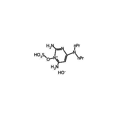 CCCN(CCC)c1cc(N)[n+](OS(=O)(=O)O)c(N)n1.[OH-]